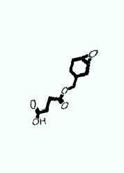 O=C(O)CCC(=O)OCC1CCC2OC2C1